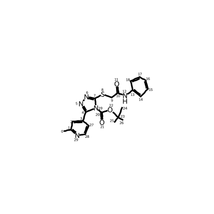 Cc1cc(-c2nnc(SCC(=O)Nc3ccccc3)n2C(=O)OC(C)(C)C)ccn1